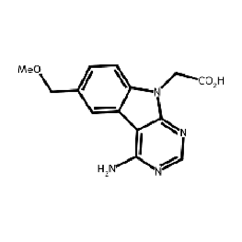 COCc1ccc2c(c1)c1c(N)ncnc1n2CC(=O)O